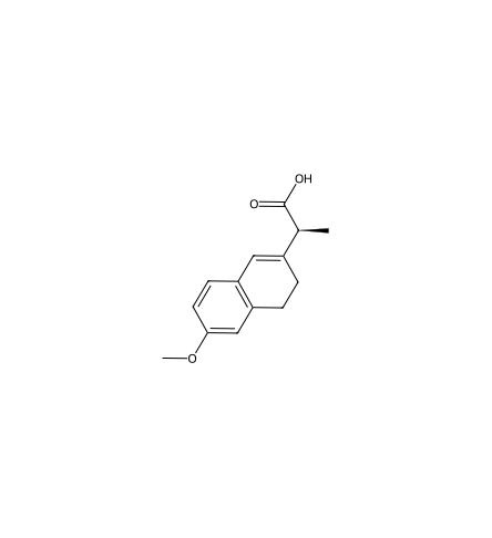 COc1ccc2c(c1)CCC([C@H](C)C(=O)O)=C2